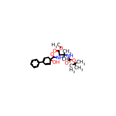 COC(=O)C(NC(=O)C1(O)C=CC(c2ccccc2)=CC1)C(C)(C)NC(=O)OC(C)(C)C